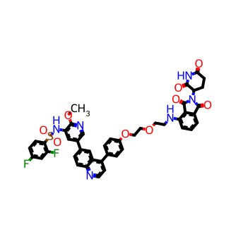 COc1ncc(-c2ccc3nccc(-c4ccc(OCCOCCNc5cccc6c5C(=O)N(C5CCC(=O)NC5=O)C6=O)cc4)c3c2)cc1NS(=O)(=O)c1ccc(F)cc1F